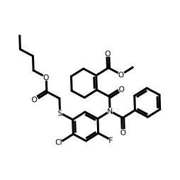 CCCCOC(=O)CSc1cc(N(C(=O)C2=C(C(=O)OC)CCCC2)C(=O)c2ccccc2)c(F)cc1Cl